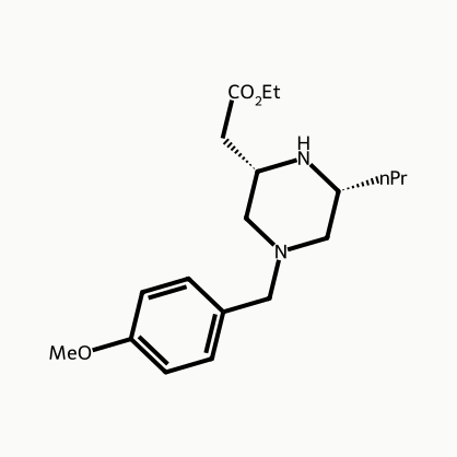 CCC[C@@H]1CN(Cc2ccc(OC)cc2)C[C@H](CC(=O)OCC)N1